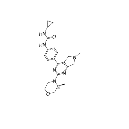 C[C@H]1COCCN1c1nc2c(c(-c3ccc(NC(=O)NC4CC4)cc3)n1)CN(C)C2